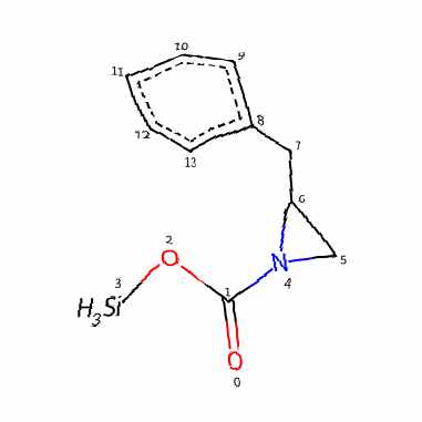 O=C(O[SiH3])N1CC1Cc1ccccc1